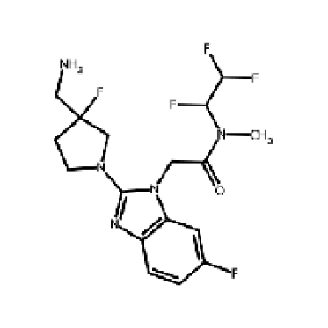 CN(C(=O)Cn1c(N2CCC(F)(CN)C2)nc2ccc(F)cc21)C(F)C(F)F